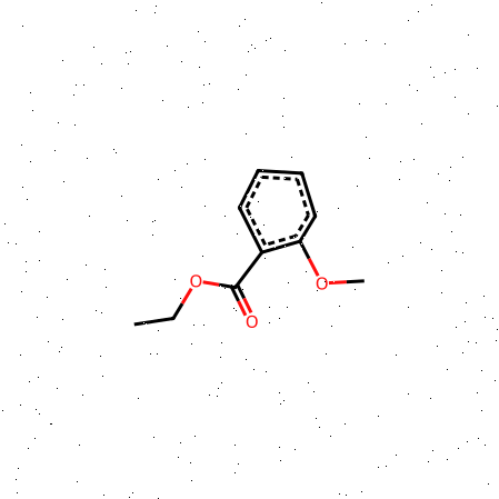 CCOC(=O)c1ccccc1OC